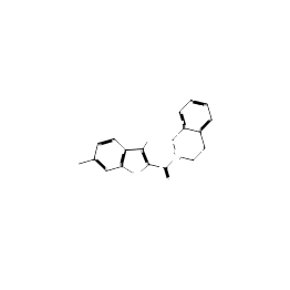 Cc1ccc2c(Cl)c(C(=O)N3CCc4ccccc4C3)sc2c1